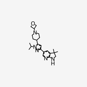 CC(C)n1nc(-c2cnc3c(c2)C(C)(C)CN3)cc1C1CCN(C2COC2)CC1